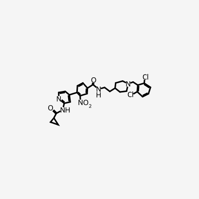 O=C(NCCC1CCN(Cc2c(Cl)cccc2Cl)CC1)c1ccc(-c2ccnc(NC(=O)C3CC3)c2)c([N+](=O)[O-])c1